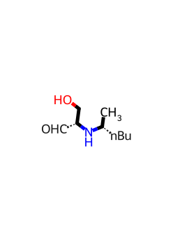 CCCC[C@@H](C)N[C@H](C=O)CO